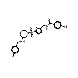 O=C(NCc1ccc(S(=O)(=O)N2CCCC(NCc3ccc(C(F)(F)F)cc3)C2)s1)c1ccc(Cl)cc1